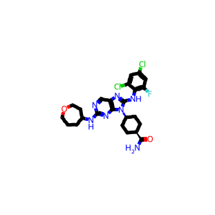 NC(=O)[C@H]1CC[C@@H](n2c(Nc3c(F)cc(Cl)cc3Cl)nc3cnc(NC4CCCOCC4)nc32)CC1